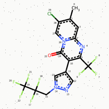 Cc1cc2nc(C(F)(F)F)c(-c3cnn(CC(F)(F)C(F)(F)F)c3)c(=O)n2cc1Cl